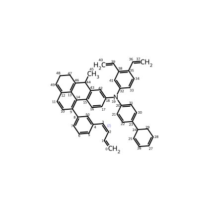 C=C/C=C\c1cccc(-c2ccc3c4c2-c2ccc(N(c5ccc(C6C=CC=CC6)cc5)c5ccc(C=C)c(C=C)c5)cc2C(C)C=4CCC=3)c1